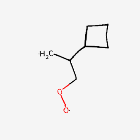 [CH2]C(CO[O])C1CCC1